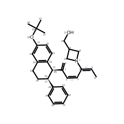 C=C(/C=C\C(=C/C)N1CC(CO)C1)[C@@H]1c2ccc(OC(C)(C)C)cc2CC[C@@H]1c1ccccc1